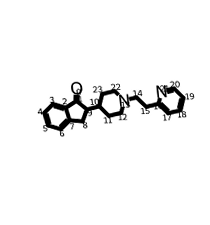 O=C1c2ccccc2CC1C1CCN(CCc2ccccn2)CC1